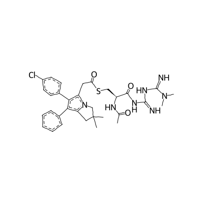 CC(=O)N[C@@H](CSC(=O)Cc1c(-c2ccc(Cl)cc2)c(-c2ccccc2)c2n1CC(C)(C)C2)C(=O)NC(=N)NC(=N)N(C)C